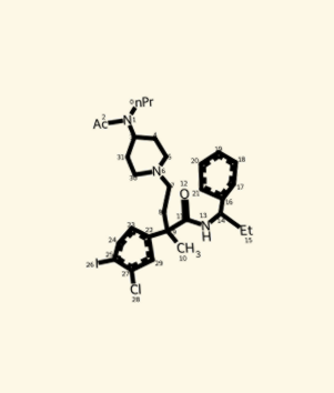 CCCN(C(C)=O)C1CCN(CCC(C)(C(=O)NC(CC)c2ccccc2)c2ccc(I)c(Cl)c2)CC1